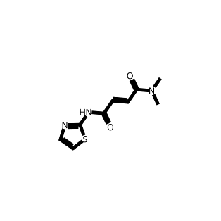 CN(C)C(=O)/C=C/C(=O)Nc1nccs1